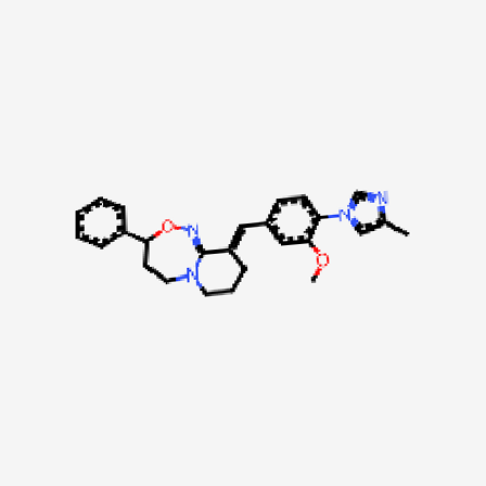 COc1cc(/C=C2\CCCN3CCC(c4ccccc4)ON=C23)ccc1-n1cnc(C)c1